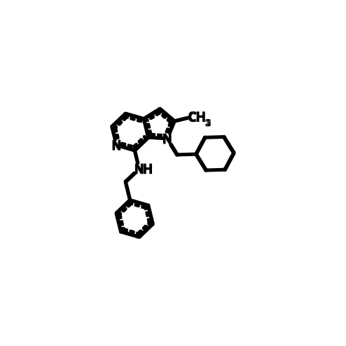 Cc1cc2ccnc(NCc3ccccc3)c2n1CC1CCCCC1